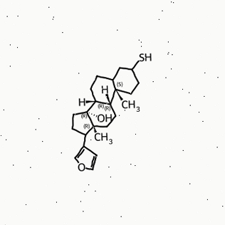 C[C@]12CCC(S)CC1CC[C@@H]1[C@H]2CC[C@]2(C)C(c3ccoc3)CC[C@@]12O